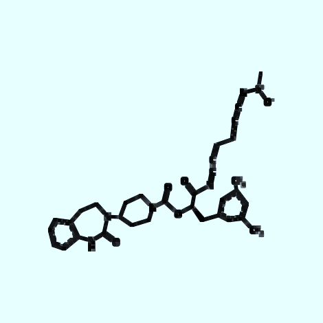 C[S+]([O-])N=C=C=CC=C=C=NC(=O)[C@@H](Cc1cc(C(F)(F)F)cc(C(F)(F)F)c1)OC(=O)N1CCC(N2CCc3ccccc3NC2=O)CC1